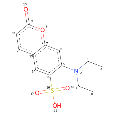 CCN(CC)c1cc2oc(=O)ccc2cc1S(=O)(=O)O